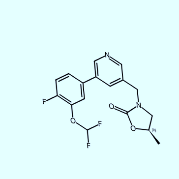 C[C@@H]1CN(Cc2cncc(-c3ccc(F)c(OC(F)F)c3)c2)C(=O)O1